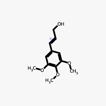 COc1cc(/C=C/CO)cc(OC)c1OC